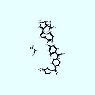 N[C@@H]1CCN(C(=O)N2CCN(C(=O)c3ccc(Nc4nccn5c(-c6c[nH]nc6C(F)(F)F)cnc45)cc3Cl)CC2)C1.O=CO